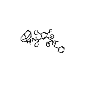 CC(NC(=O)c1cc(S(=O)(=O)N(C)Cc2ccccc2)c(F)cc1Cl)C12CC3CC(CC(C3)C1)C2